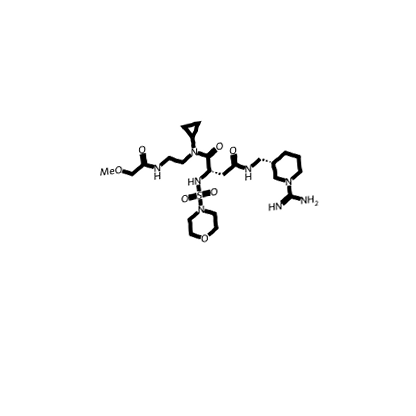 COCC(=O)NCCN(C(=O)[C@H](CC(=O)NC[C@@H]1CCCN(C(=N)N)C1)NS(=O)(=O)N1CCOCC1)C1CC1